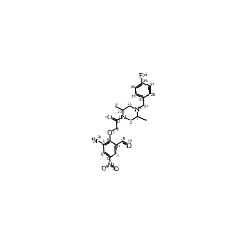 CC1CN(C(=O)COc2c(Br)cc([N+](=O)[O-])cc2C=O)C(C)CN1Cc1ccc(F)cc1